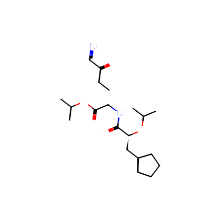 CC(C)OC(=O)[C@H](CCC(=O)C=N)NC(=O)[C@H](CC1CCCC1)OC(C)C